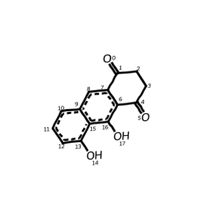 O=C1CCC(=O)c2c1cc1cccc(O)c1c2O